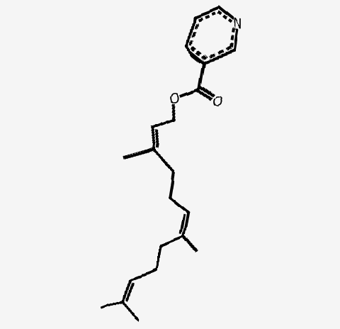 CC(C)=CCCC(C)=CCCC(C)=CCOC(=O)c1cccnc1